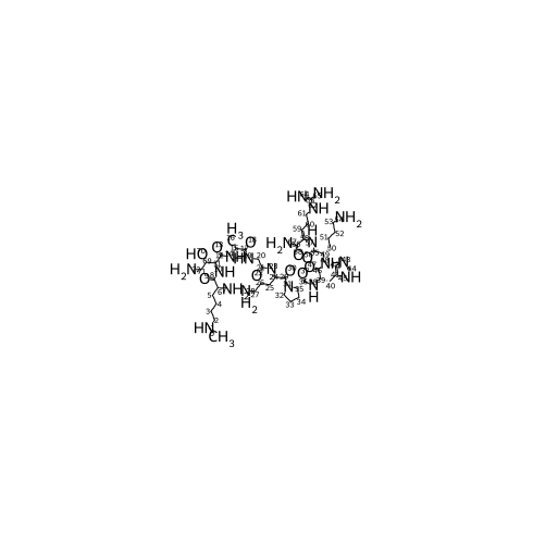 CNCCCC[C@H](N)C(=O)N[C@H](C(=O)N[C@@H](C)C(=O)NCC(=O)/N=C(\CCCN)C(=O)N1CCC[C@H]1C(=O)N[C@@H](Cc1cnc[nH]1)C(=O)N[C@@H](CCCCN)C(=O)N/C(=C\CCNC(=N)N)C(N)=O)[C@@H](O)CN